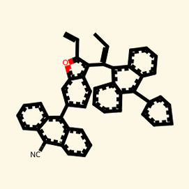 C=Cc1oc2cc(-c3c4ccccc4c(C#N)c4ccccc34)ccc2c1/C(=C\C)c1c2ccccc2c(-c2ccccc2)c2ccccc12